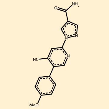 COc1ccc(-c2cnc(-n3cc(C(N)=O)cn3)cc2C#N)cc1